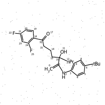 C=C(Nc1ccc(C(C)(C)C)cc1)C(O)(CCC)CCCC(=O)c1ccc(F)cc1F